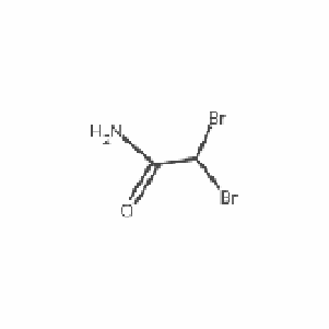 NC(=O)C(Br)Br